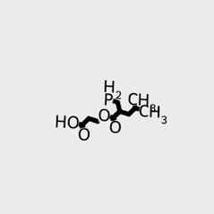 CC(C)CC(CP)C(=O)OCCC(=O)O